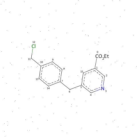 CCOC(=O)c1cncc(Cc2ccc(CCl)cc2)c1